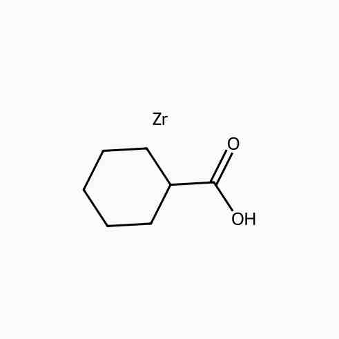 O=C(O)C1CCCCC1.[Zr]